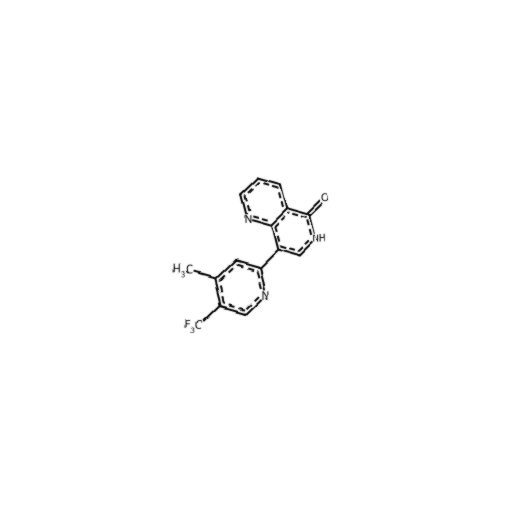 Cc1cc(-c2c[nH]c(=O)c3cccnc23)ncc1C(F)(F)F